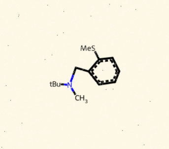 CSc1ccccc1CN(C)C(C)(C)C